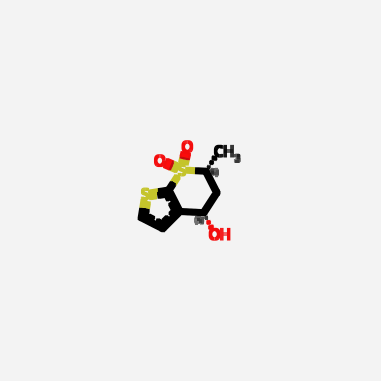 C[C@@H]1C[C@H](O)c2ccsc2S1(=O)=O